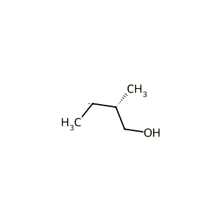 C[CH][C@H](C)CO